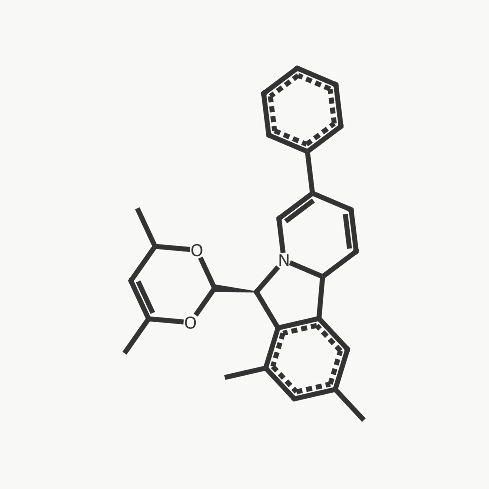 CC1=CC(C)OC([C@@H]2c3c(C)cc(C)cc3C3C=CC(c4ccccc4)=CN32)O1